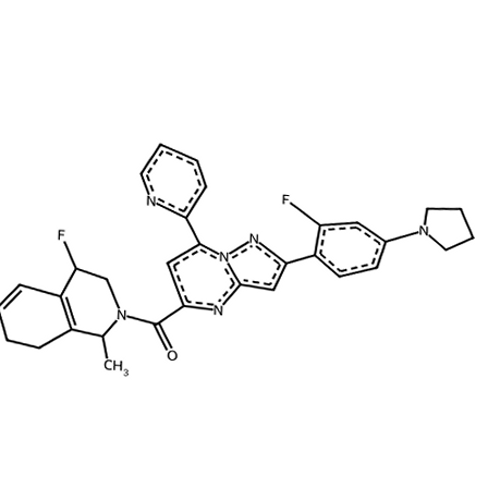 CC1C2=C(C=CCC2)C(F)CN1C(=O)c1cc(-c2ccccn2)n2nc(-c3ccc(N4CCCC4)cc3F)cc2n1